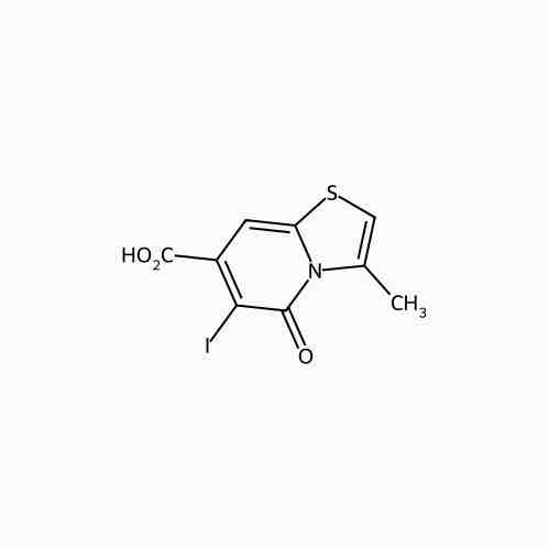 Cc1csc2cc(C(=O)O)c(I)c(=O)n12